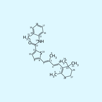 CC1=C(/C=C/C(C)=C/c2ccc(C(=O)Nc3ccccc3C)s2)C(C)(C)CCC1